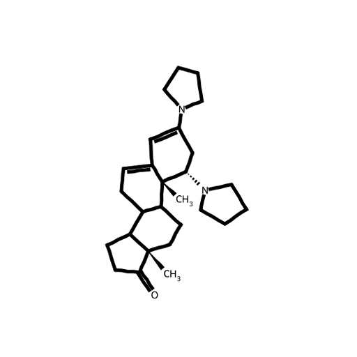 C[C@]12C(=CCC3C1CC[C@]1(C)C(=O)CCC31)C=C(N1CCCC1)C[C@@H]2N1CCCC1